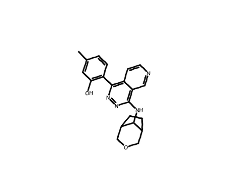 Cc1ccc(-c2nnc(NC3C4CCC3COC4)c3cnccc23)c(O)c1